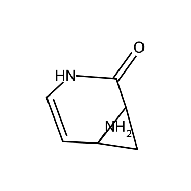 NC12C=CNC(=O)C1C2